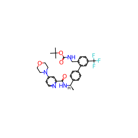 C[C@@H](NC(=O)c1cc(N2CCOCC2)ccn1)c1ccc(-c2cc(C(F)(F)F)ccc2CNC(=O)OC(C)(C)C)cc1